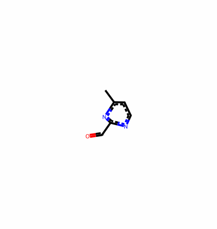 Cc1ccnc([C]=O)n1